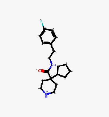 O=C(NCCc1ccc(F)cc1)C1(C2CCCC2)CCNCC1